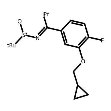 CC(C)C(=N[S+]([O-])C(C)(C)C)c1ccc(F)c(OCC2CC2)c1